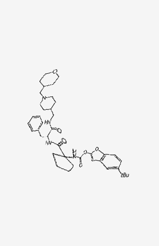 CC(C)(C)c1ccc2oc(OC(=O)NC3(C(=O)N[C@H](Cc4ccccc4)C(=O)NCC4CCN(CC5CCOCC5)CC4)CCCC3)cc2c1